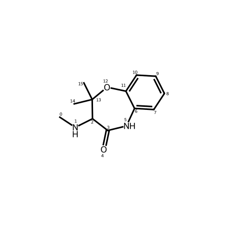 CNC1C(=O)Nc2ccccc2OC1(C)C